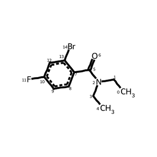 CCN(CC)C(=O)c1ccc(F)cc1Br